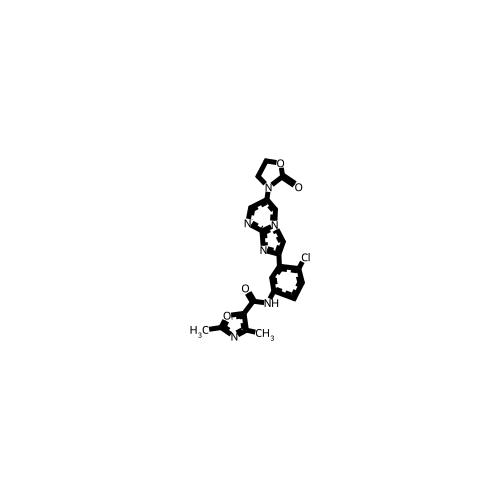 Cc1nc(C)c(C(=O)Nc2ccc(Cl)c(-c3cn4cc(N5CCOC5=O)cnc4n3)c2)o1